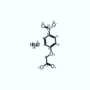 O.O=C([O-])COc1ccc([N+](=O)[O-])cc1.[Na+]